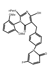 CCCCCc1nc(O)c(Cc2ccc(-n3cc(F)ccc3=O)cc2)c(=O)n1-c1c(OC)cccc1OC